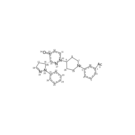 CC(=O)c1cccc(N2CCC(n3ccc(=O)c([C@H]4CC=NN4c4ccccc4)n3)CC2)c1